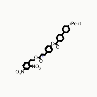 CCCCCC1CCC(C2CCC(C(=O)Oc3ccc(/C=C/C(=O)OCCc4ccc([N+](=O)[O-])cc4[N+](=O)[O-])cc3)CC2)CC1